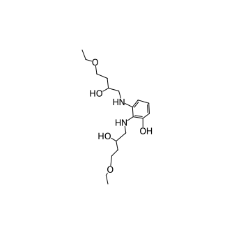 CCOCCC(O)CNc1cccc(O)c1NCC(O)CCOCC